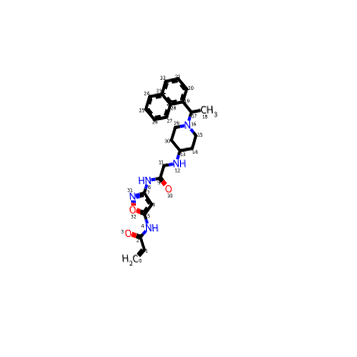 C=CC(=O)Nc1cc(NC(=O)CNC2CCN(C(C)c3cccc4ccccc34)CC2)no1